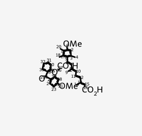 COc1cc(C)c(/C=C/C(C)=C/C=C/C(C)=C/C(=O)O)c(C)c1C.COc1ccc(C(=O)c2ccccc2)c(OCC(=O)O)c1